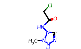 CN1NN=[C]N1NC(=O)CCl